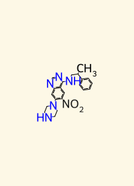 CC(CNc1ncnc2cc(N3CCNCC3)c([N+](=O)[O-])cc12)c1ccccc1